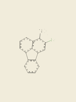 O=[N+]([O-])c1c(Br)cc2c3c(cccc13)-c1ccccc1-2